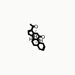 CC(=O)C1=CC[C@H]2[C@@H]3CCC4CC=CC[C@]4(C)[C@H]3C(=O)C[C@]12C